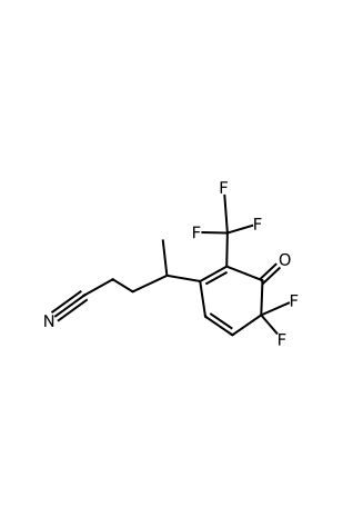 CC(CCC#N)C1=C(C(F)(F)F)C(=O)C(F)(F)C=C1